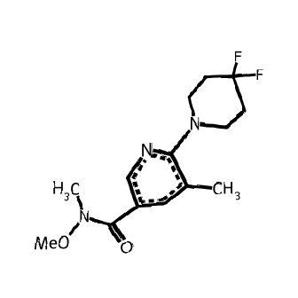 CON(C)C(=O)c1cnc(N2CCC(F)(F)CC2)c(C)c1